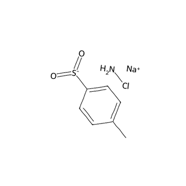 Cc1ccc([S-](=O)=O)cc1.NCl.[Na+]